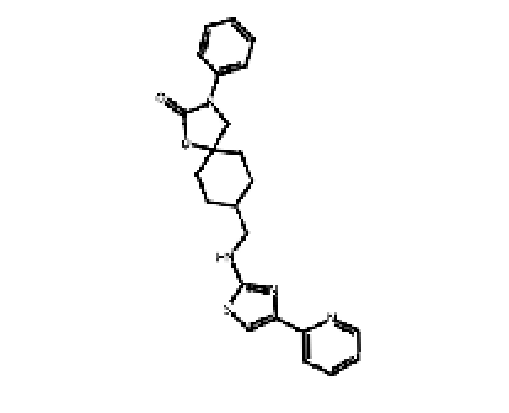 O=C1OC2(CCC(CNc3nc(-c4ccccn4)cs3)CC2)CN1c1ccccc1